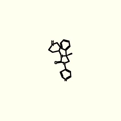 C[C@@]1(c2ccccc2)CN(c2ccncc2)C(=O)N1C1CCNCC1